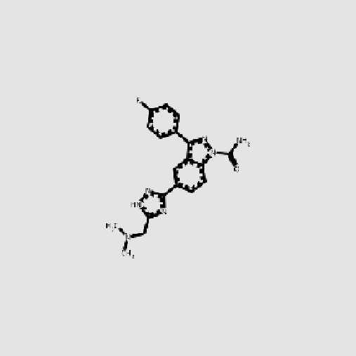 CN(C)Cc1nc(-c2ccc3c(c2)c(-c2ccc(F)cc2)nn3C(N)=O)n[nH]1